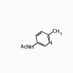 CC(=O)Nc1ccc(C)nc1